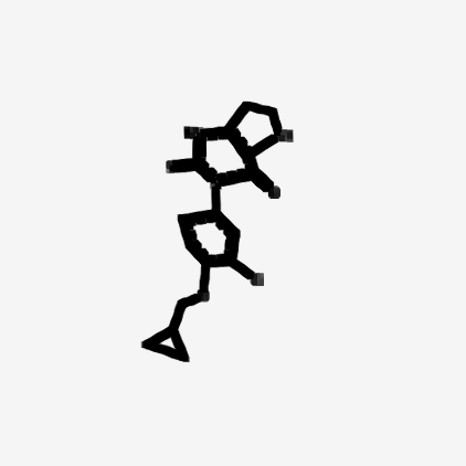 O=c1c2c([nH]c(=S)n1-c1ccc(OCC3CC3)c(Cl)c1)CCN2